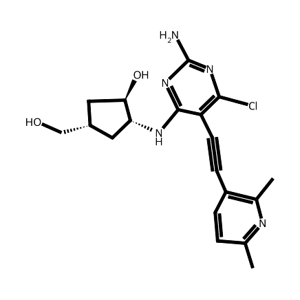 Cc1ccc(C#Cc2c(Cl)nc(N)nc2N[C@@H]2C[C@H](CO)C[C@H]2O)c(C)n1